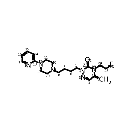 C=C1C=NN(CCCCN2CCN(c3ccccn3)CC2)C(=O)N1CCF